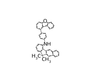 CC1(C)c2cc3ccccc3cc2-c2c(Nc3ccc(-c4cccc5oc6ccccc6c45)cc3)cccc21